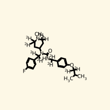 [2H]C([2H])(NC(=O)N(C1CC([2H])([2H])N(C)C([2H])([2H])C1)C([2H])([2H])c1ccc(F)cc1)c1ccc(OC([2H])([2H])C(C)C)cc1